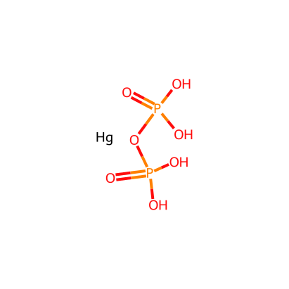 O=P(O)(O)OP(=O)(O)O.[Hg]